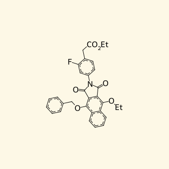 CCOC(=O)Cc1ccc(N2C(=O)c3c(c(OCc4ccccc4)c4ccccc4c3OCC)C2=O)cc1F